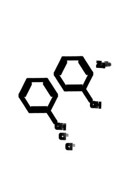 Oc1ccccc1.Oc1ccccc1.[Cl-].[Cl-].[Zn+2]